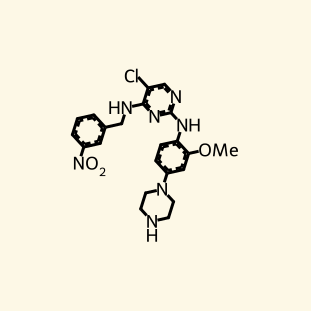 COc1cc(N2CCNCC2)ccc1Nc1ncc(Cl)c(NCc2cccc([N+](=O)[O-])c2)n1